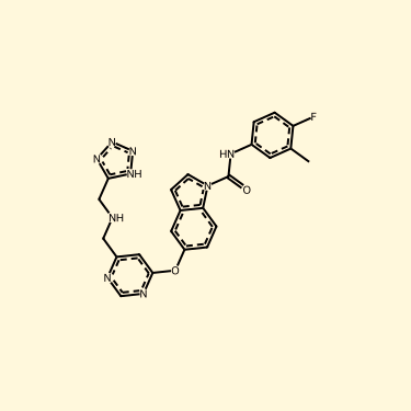 Cc1cc(NC(=O)n2ccc3cc(Oc4cc(CNCc5nnn[nH]5)ncn4)ccc32)ccc1F